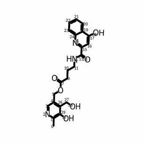 Cc1ncc(COC(=O)CCCNC(=O)c2cc(O)c3ccccc3n2)c(CO)c1O